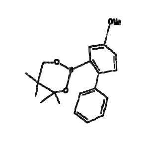 COc1ccc(-c2ccccc2)c(B2OCC(C)(C)C(C)(C)O2)c1